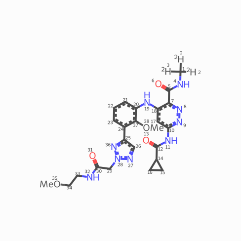 [2H]C([2H])([2H])NC(=O)c1nnc(NC(=O)C2CC2)cc1Nc1cccc(-c2cnn(CC(=O)NCCOC)n2)c1OC